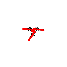 CCCCCCCCCCCCCOC(=O)CCc1ccc(OP(Oc2ccc(CCC(=O)OCCCCCCCCCCCCC)cc2C(C)(C)C)Oc2ccc(CCC(=O)OCCCCCCCCCCCCC)cc2C(C)(C)C)c(C(C)(C)C)c1